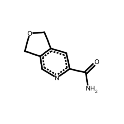 NC(=O)c1cc2c(cn1)COC2